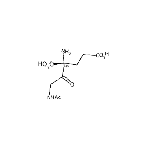 CC(=O)NCC(=O)[C@](N)(CCC(=O)O)C(=O)O